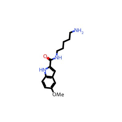 COc1ccc2[nH]c(C(=O)NCCCCCN)cc2c1